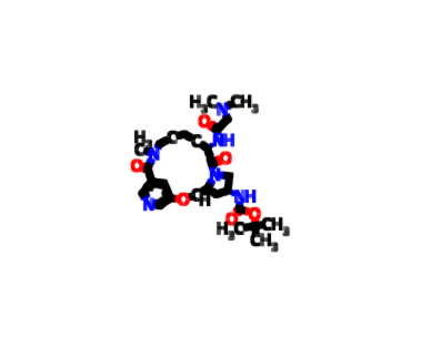 CN(C)CC(=O)N[C@H]1CCCCN(C)C(=O)c2cncc(c2)OC[C@@H]2C[C@H](NC(=O)OC(C)(C)C)CN2C1=O